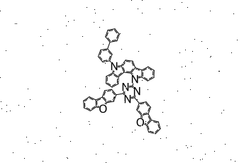 c1ccc(-c2cccc(-n3c4ccccc4c4c3ccc3c5ccccc5n(-c5nc(-c6ccc7c(c6)oc6ccccc67)nc(-c6ccc7c(c6)oc6ccccc67)n5)c34)c2)cc1